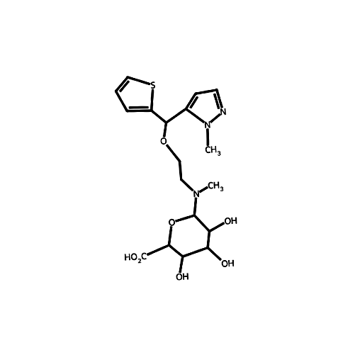 CN(CCOC(c1cccs1)c1ccnn1C)C1OC(C(=O)O)C(O)C(O)C1O